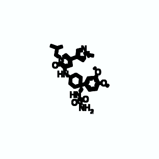 COc1ccc([C@]2(CNS(N)(=O)=O)CC[C@H](Nc3cc(-c4cnn(C)c4)cn(CC(C)C)c3=O)CC2)cc1OC